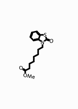 COC(=O)CCCCCCCn1c(=O)sc2ccccc21